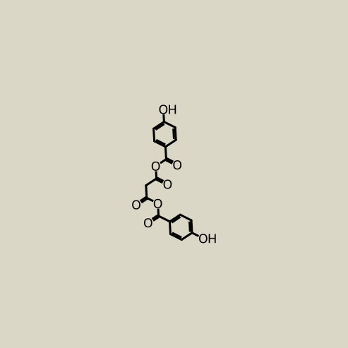 O=C(CC(=O)OC(=O)c1ccc(O)cc1)OC(=O)c1ccc(O)cc1